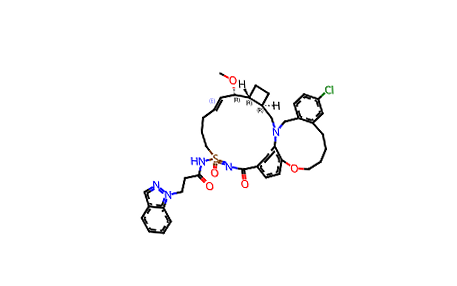 CO[C@H]1/C=C/CCCS(=O)(NC(=O)CCn2ncc3ccccc32)=NC(=O)c2ccc3c(c2)N(Cc2ccc(Cl)cc2CCCCO3)C[C@@H]2CC[C@H]21